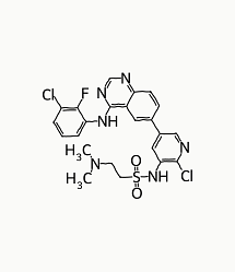 CN(C)CCS(=O)(=O)Nc1cc(-c2ccc3ncnc(Nc4cccc(Cl)c4F)c3c2)cnc1Cl